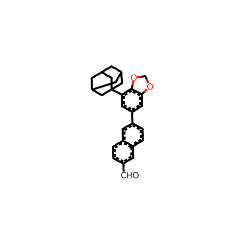 O=Cc1ccc2cc(-c3cc4c(c(C56CC7CC(CC(C7)C5)C6)c3)OCO4)ccc2c1